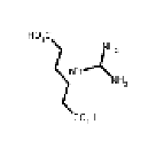 CCCC(N)N.O=C(O)CCCCC(=O)O